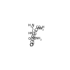 NCCCCC(NC(=O)CNC(=O)C(Cc1ccccc1)NC(=O)CN)C(=O)N1CCC(N)(C(=O)O)CC1